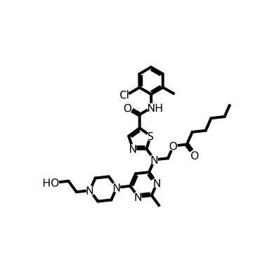 CCCCCC(=O)OCN(c1cc(N2CCN(CCO)CC2)nc(C)n1)c1ncc(C(=O)Nc2c(C)cccc2Cl)s1